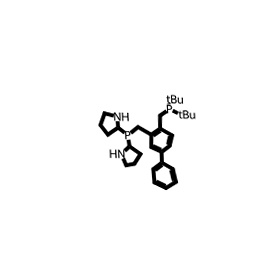 CC(C)(C)P(Cc1ccc(-c2ccccc2)cc1CP(C1CCCN1)C1CCCN1)C(C)(C)C